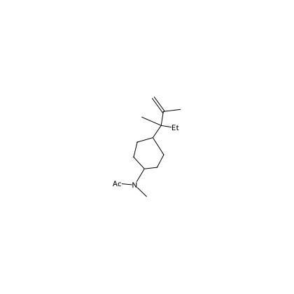 C=C(C)C(C)(CC)C1CCC(N(C)C(C)=O)CC1